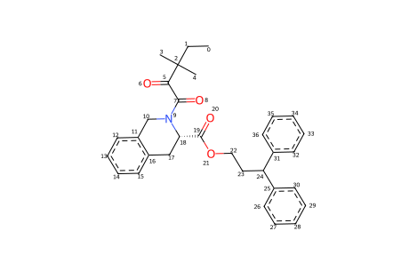 CCC(C)(C)C(=O)C(=O)N1Cc2ccccc2C[C@H]1C(=O)OCCC(c1ccccc1)c1ccccc1